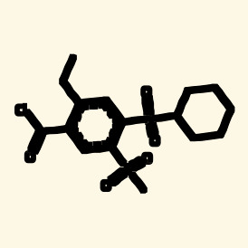 CCc1cc(S(=O)(=O)C2CCCCC2)c(S(C)(=O)=O)cc1C(=O)Cl